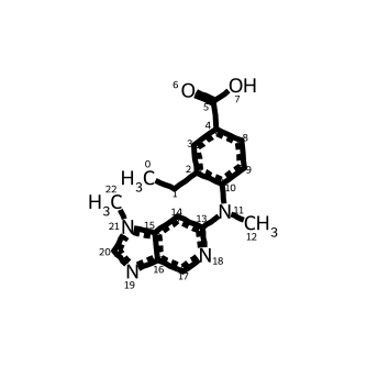 CCc1cc(C(=O)O)ccc1N(C)c1cc2c(cn1)ncn2C